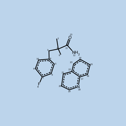 CC(C)(Cc1ccc(F)cc1)C(N)=O.c1ccc2ncccc2c1